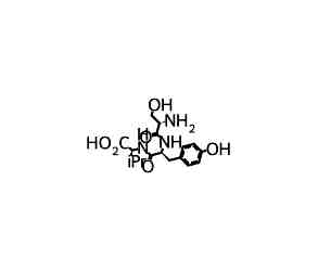 CC(C)[C@H](NC(=O)[C@H](Cc1ccc(O)cc1)NC(=O)[C@@H](N)CO)C(=O)O